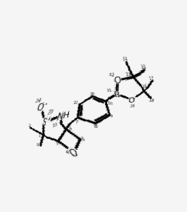 CC1(C)C2OCC2(c2ccc(B3OC(C)(C)C(C)(C)O3)cc2)N[S+]1[O-]